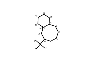 CC(C)(C)C1CCCCC2CCCCN2C1